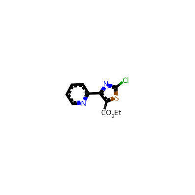 CCOC(=O)c1sc(Cl)nc1-c1ccccn1